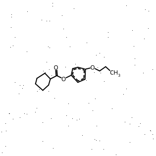 CCCOc1ccc(OC(=O)C2CCCCC2)cc1